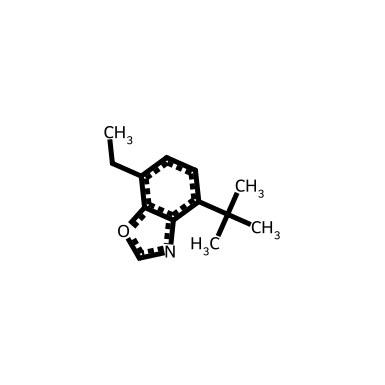 CCc1ccc(C(C)(C)C)c2ncoc12